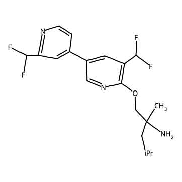 CC(C)CC(C)(N)COc1ncc(-c2ccnc(C(F)F)c2)cc1C(F)F